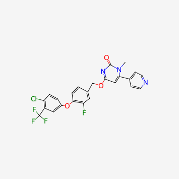 Cn1c(-c2ccncc2)cc(OCc2ccc(Oc3ccc(Cl)c(C(F)(F)F)c3)c(F)c2)nc1=O